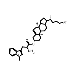 CC(C)CCC[C@@H](C)C1CCC2[C@@H]3CC=C4C[C@@H](OC(=O)C(N)Cc5cn(C)c6ccccc56)CC[C@]4(C)C3CC[C@@]21C